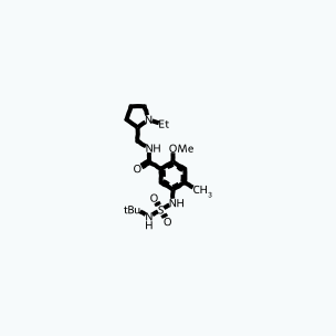 CCN1CCCC1CNC(=O)c1cc(NS(=O)(=O)NC(C)(C)C)c(C)cc1OC